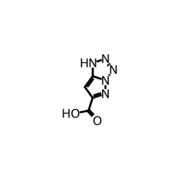 O=C(O)c1cc2[nH]nnn2n1